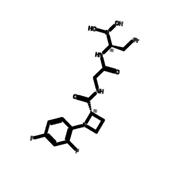 CC(C)C[C@@H](NC(=O)CNC(=O)[C@@H]1CCN1c1ccc(F)cc1F)B(O)O